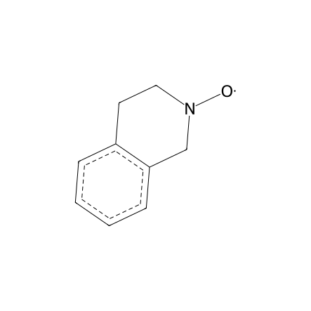 [O]N1CCc2ccccc2C1